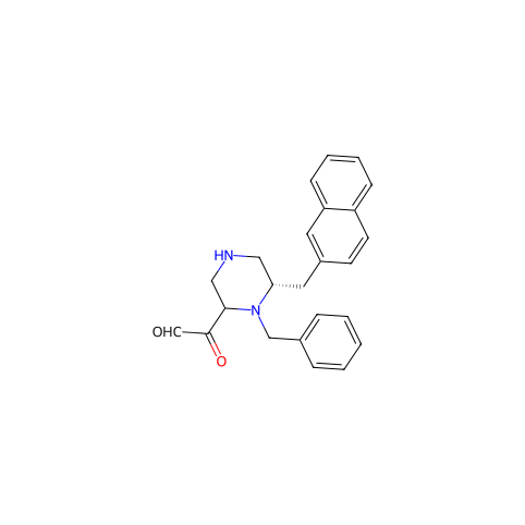 O=CC(=O)C1CNC[C@H](Cc2ccc3ccccc3c2)N1Cc1ccccc1